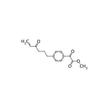 C=CC(=O)CCCc1ccc(C(=O)C(=O)OC)cc1